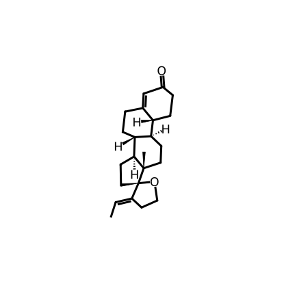 C/C=C1\CCO[C@]12CC[C@H]1[C@@H]3CCC4=CC(=O)CC[C@@H]4[C@H]3CC[C@@]12C